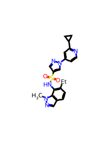 CCc1ccc2cnn(C)c2c1NS(=O)(=O)c1cnn(-c2ccnc(C3CC3)c2)c1